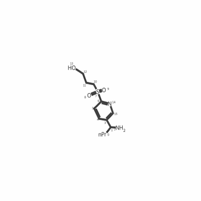 CCCC(N)c1ccc(S(=O)(=O)CCCO)nc1